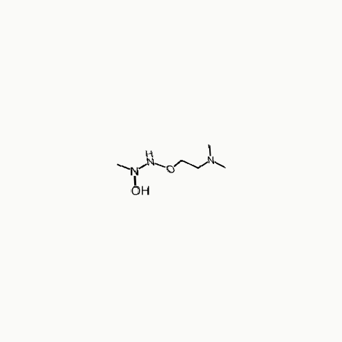 CN(C)CCONN(C)O